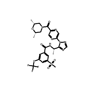 C[C@@H]1CN(C(=O)c2cnc(-n3ncnc3[C@H](C)NC(=O)c3cc(OC(F)(F)F)cc(S(C)(=O)=O)c3)cn2)C[C@H](C)O1